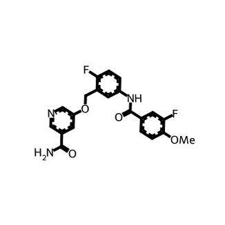 COc1ccc(C(=O)Nc2ccc(F)c(COc3cncc(C(N)=O)c3)c2)cc1F